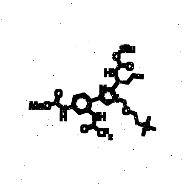 C=CC[C@H](NC(=O)OC(C)(C)C)c1nc(-c2ccc(NC(=O)OC)cc2NC(=O)C(F)(F)F)cn1COCC[Si](C)(C)C